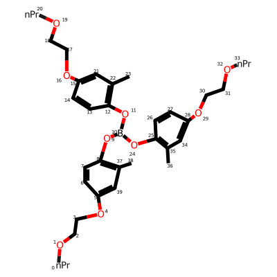 CCCOCCOc1ccc(OB(Oc2ccc(OCCOCCC)cc2C)Oc2ccc(OCCOCCC)cc2C)c(C)c1